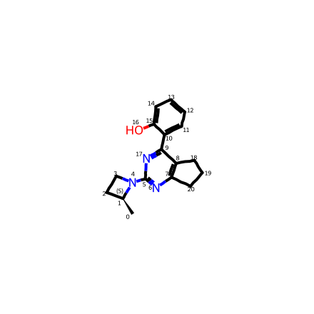 C[C@H]1CCN1c1nc2c(c(-c3ccccc3O)n1)CCC2